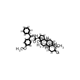 COc1ccc(C(NC(=O)[C@H]2CC[C@H]3[C@@H]4CC[C@H]5N(C)C(=O)CC[C@]5(C)[C@H]4CC[C@]23C)c2ccccc2)cc1